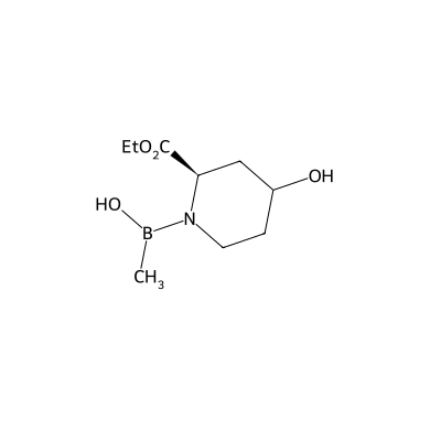 CCOC(=O)[C@H]1CC(O)CCN1B(C)O